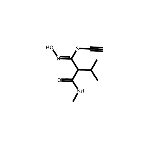 C#CS/C(=N\O)C(C(=O)NC)C(C)C